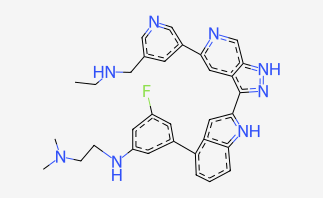 CCNCc1cncc(-c2cc3c(-c4cc5c(-c6cc(F)cc(NCCN(C)C)c6)cccc5[nH]4)n[nH]c3cn2)c1